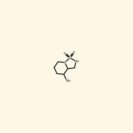 CC(C)(C)C1CCCN2C1CNS2(=O)=O